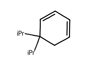 CC(C)C1(C(C)C)C=CC=CC1